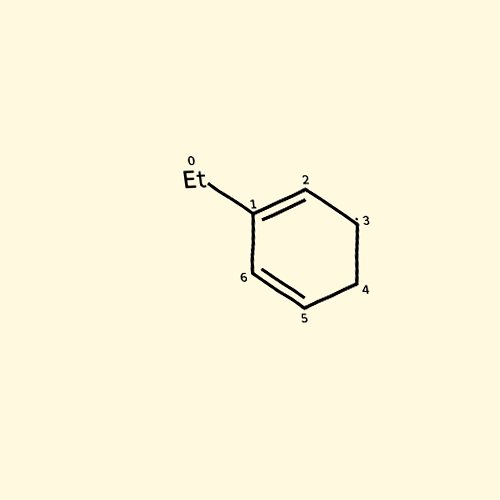 CCC1=C[CH]CC=C1